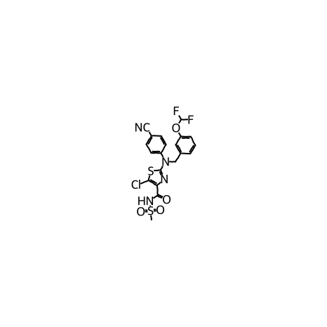 CS(=O)(=O)NC(=O)c1nc(N(Cc2cccc(OC(F)F)c2)c2ccc(C#N)cc2)sc1Cl